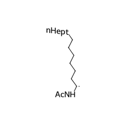 CCCCCCCCCCCCC[CH]NC(C)=O